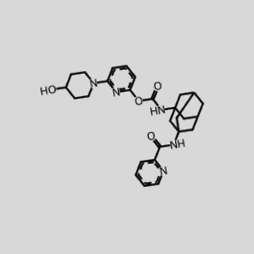 O=C(NC12CC3CC(C1)CC(NC(=O)c1ccccn1)(C3)C2)Oc1cccc(N2CCC(O)CC2)n1